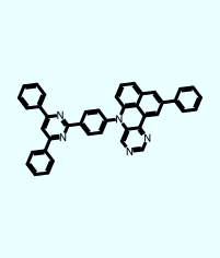 c1ccc(-c2cc3c4c(cccc4c2)N(c2ccc(-c4nc(-c5ccccc5)cc(-c5ccccc5)n4)cc2)c2cncnc2-3)cc1